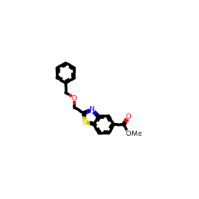 COC(=O)c1ccc2sc(COCc3ccccc3)nc2c1